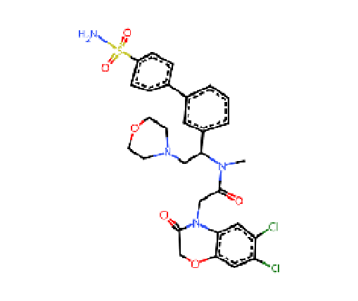 CN(C(=O)CN1C(=O)COc2cc(Cl)c(Cl)cc21)C(CN1CCOCC1)c1cccc(-c2ccc(S(N)(=O)=O)cc2)c1